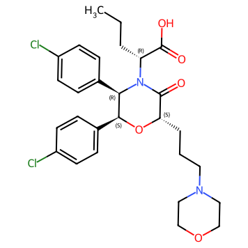 CCC[C@H](C(=O)O)N1C(=O)[C@H](CCCN2CCOCC2)O[C@@H](c2ccc(Cl)cc2)[C@H]1c1ccc(Cl)cc1